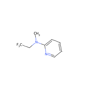 CN(CC(F)(F)F)c1cc[c]cn1